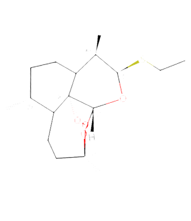 CCS[C@H]1O[C@@H]2O[C@]3(C)CCC4[C@H](C)CCC([C@H]1C)[C@]42OO3